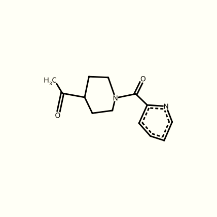 CC(=O)C1CCN(C(=O)c2ccccn2)CC1